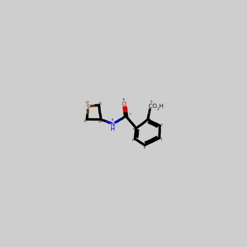 O=C(O)c1ccccc1C(=O)NC1CSC1